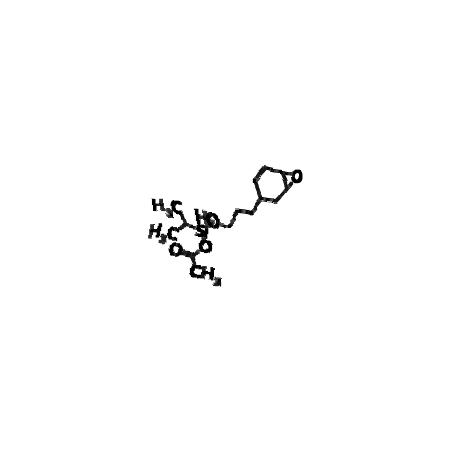 CC(=O)O[SiH](OCCCC1CCC2OC2C1)C(C)C